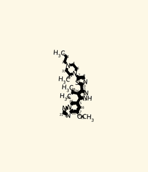 CCCN1CCN(c2cnc(-c3n[nH]c(-c4cc(OC)c5ncnn5c4)c3C(C)C)s2)[C@H](C)C1